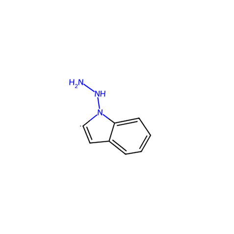 NNn1[c]cc2ccccc21